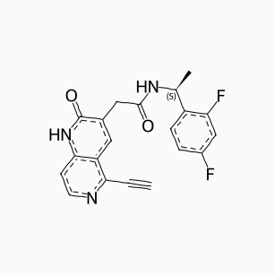 C#Cc1nccc2[nH]c(=O)c(CC(=O)N[C@@H](C)c3ccc(F)cc3F)cc12